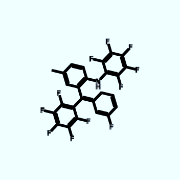 Cc1ccc(Nc2c(F)c(F)c(F)c(F)c2F)c(/C(=C2/C=C(F)C=CC2)c2c(F)c(F)c(F)c(F)c2F)c1